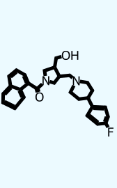 O=C(c1cccc2ccccc12)N1CC(CO)C(CN2CCC(c3ccc(F)cc3)CC2)C1